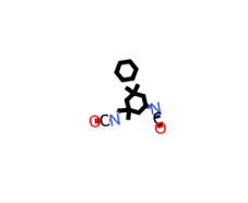 C1CCCCC1.CC1(C)CC(N=C=O)CC(C)(CN=C=O)C1